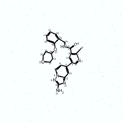 Cc1ncc(-c2ccn3nc(N)nc3c2)cc1C(=O)NCc1ccccc1OC1CCOCC1